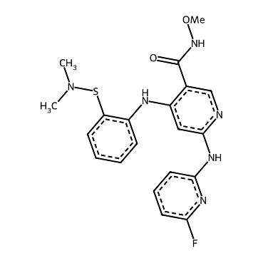 CONC(=O)c1cnc(Nc2cccc(F)n2)cc1Nc1ccccc1SN(C)C